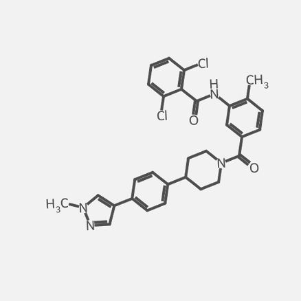 Cc1ccc(C(=O)N2CCC(c3ccc(-c4cnn(C)c4)cc3)CC2)cc1NC(=O)c1c(Cl)cccc1Cl